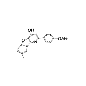 COc1ccc(-c2cc(O)c3oc4ccc(C)cc4c3n2)cc1